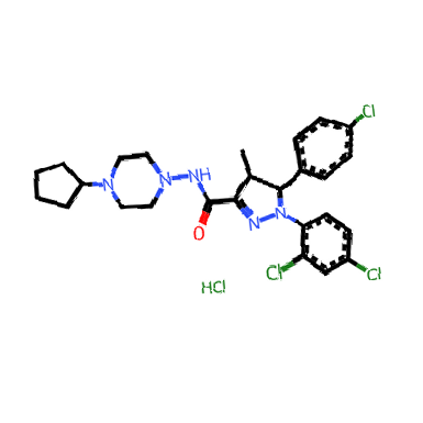 CC1C(C(=O)NN2CCN(C3CCCC3)CC2)=NN(c2ccc(Cl)cc2Cl)C1c1ccc(Cl)cc1.Cl